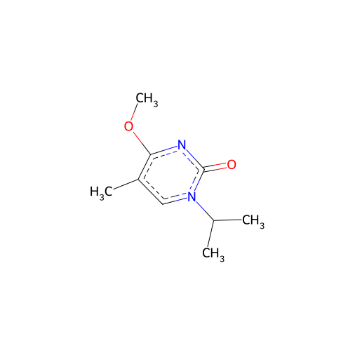 COc1nc(=O)n(C(C)C)cc1C